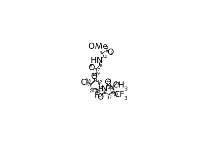 COC(=O)CCNCC(=O)COc1cc(-n2c(=O)cc(C(F)(F)F)n(C)c2=O)c(F)cc1Cl